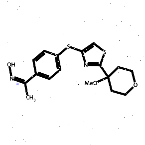 COC1(c2nc(Sc3ccc(/C(C)=N\O)cc3)cs2)CCOCC1